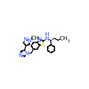 CCC[C@H](Nc1nc2ccc(Cn3cncc3-c3cnn(C)c3)cc2s1)c1ccccc1